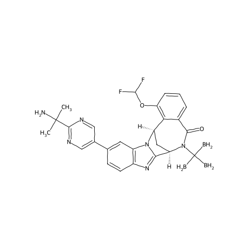 BC(B)(B)N1C(=O)c2cccc(OC(F)F)c2[C@H]2C[C@@H]1c1nc3ccc(-c4cnc(C(C)(C)N)nc4)cc3n12